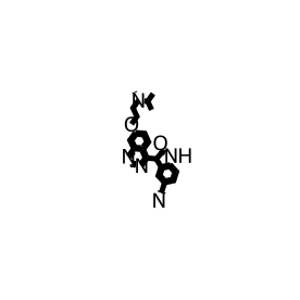 CC(C)N(C)CCOc1ccc2c(C3C(=O)Nc4ccc(C#N)cc43)ncnc2c1